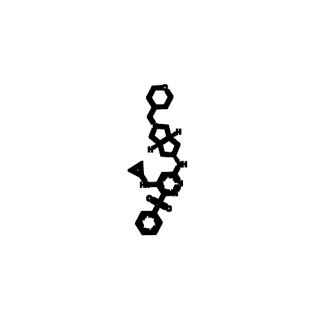 O=S(=O)(c1ccccc1)c1nnc(N[C@H]2C[C@@H]3CN(CC4CCOCC4)C[C@@H]3C2)cc1NC1CC1